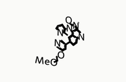 COCCOc1cncc(-c2ccc3ncc4c(c3c2)n(-c2cccnc2C)c(=O)n4C)c1